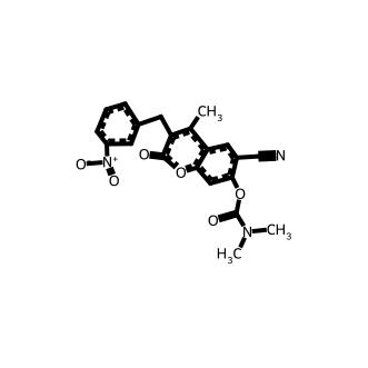 Cc1c(Cc2cccc([N+](=O)[O-])c2)c(=O)oc2cc(OC(=O)N(C)C)c(C#N)cc12